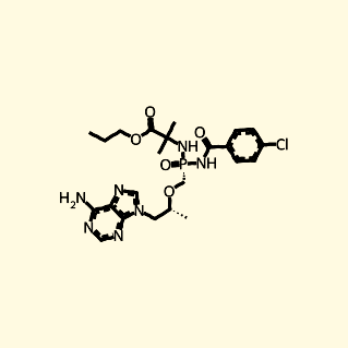 CCCOC(=O)C(C)(C)N[P@@](=O)(CO[C@H](C)Cn1cnc2c(N)ncnc21)NC(=O)c1ccc(Cl)cc1